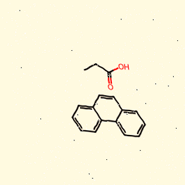 CCC(=O)O.c1ccc2c(c1)ccc1ccccc12